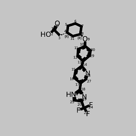 O=C(O)C[C@@H]1CCC[C@@H](Oc2ccc(-c3ccc(-c4nc(C(F)(F)F)c[nH]4)cn3)cc2)C1